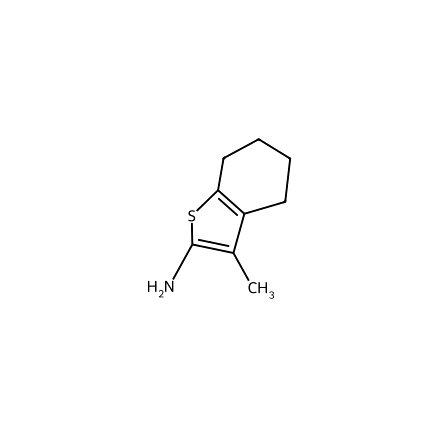 Cc1c(N)sc2c1CCCC2